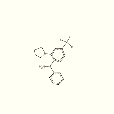 NC(c1ccccc1)c1ccc(C(F)(F)F)cc1N1CCCC1